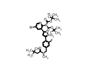 CN(Cc1ccc(-c2cc(-c3cc(Br)cnc3N(C(=O)OC(C)(C)C)C(=O)OC(C)(C)C)on2)c(F)c1)C(=O)CC(C)(C)C